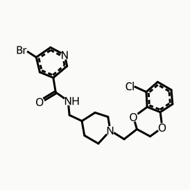 O=C(NCC1CCN(CC2COc3cccc(Cl)c3O2)CC1)c1cncc(Br)c1